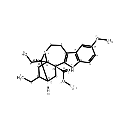 CCC1C[C@@H]2N3CCc4c([nH]c5ccc(OC)cc45)[C@]2(C(=O)OC)C[C@@H]1C3CO